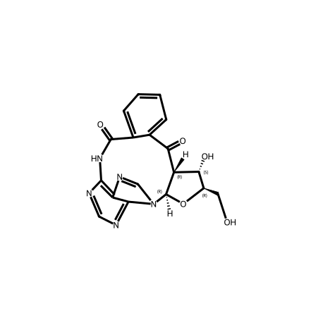 O=C1Nc2ncnc3c2ncn3[C@@H]2O[C@H](CO)[C@@H](O)[C@H]2C(=O)c2ccccc21